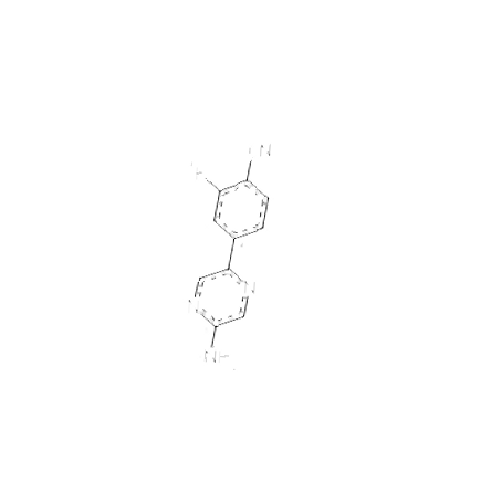 N#Cc1ccc(-c2cnc(N)cn2)cc1F